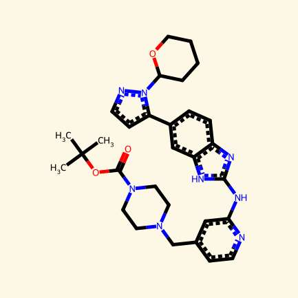 CC(C)(C)OC(=O)N1CCN(Cc2ccnc(Nc3nc4ccc(-c5ccnn5C5CCCCO5)cc4[nH]3)c2)CC1